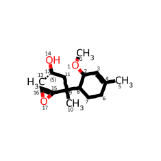 COC1C=C(C)CCC1C(C)(C[C@H](C)O)C1=CO1